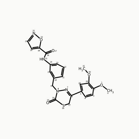 COc1ccc(C2=NN(Cc3cccc(NC(=O)c4ccno4)c3)C(=O)SC2)cc1OC